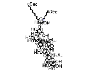 CCCCCCCCCCCCC/C=C/[C@@H](O)[C@H](CO[C@@H]1OC(CO)[C@@H](O[C@@H]2OC(CO)[C@H](O)[C@H](O[C@@H]3OC(CO)[C@@H](O[C@@H]4OC(CO)[C@H](O)[C@H](O[C@@H]5OC(CO)[C@@H](O)[C@H](O[C@@H]6OC(CO)[C@H](O)[C@H](O)C6O)C5NC(C)=O)C4O)[C@H](O[C@H]4OC(C)[C@@H](O)C(O)[C@@H]4O)C3NC(C)=O)C2O)[C@H](O)C1O)NC(=O)CCCCCCCCCCCCCCCCCCC